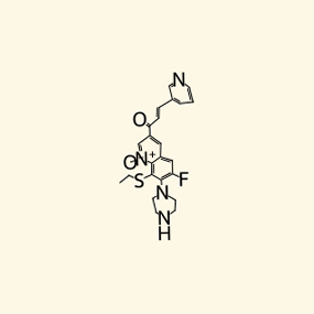 CCSc1c(N2CCNCC2)c(F)cc2cc(C(=O)C=Cc3cccnc3)c[n+]([O-])c12